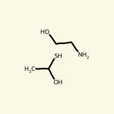 CC(O)S.NCCO